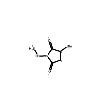 BBN1C(=O)CC(C(C)(C)C)C1=O